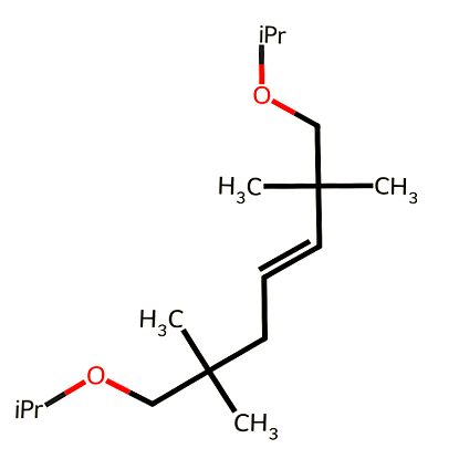 CC(C)OCC(C)(C)/C=C/CC(C)(C)COC(C)C